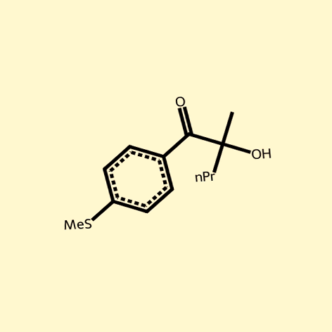 CCCC(C)(O)C(=O)c1ccc(SC)cc1